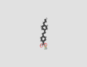 C=CCc1ccc(CCc2ccc(C(=O)OF)cc2)cc1